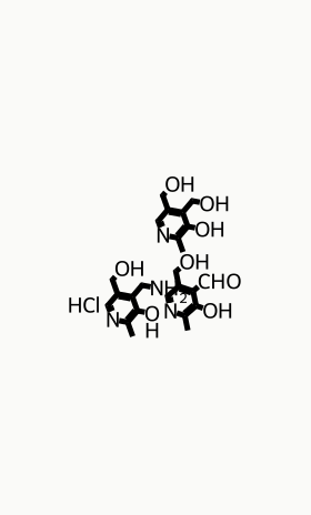 Cc1ncc(CO)c(C=O)c1O.Cc1ncc(CO)c(CN)c1O.Cc1ncc(CO)c(CO)c1O.Cl